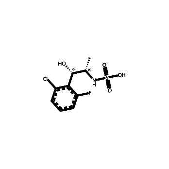 C[C@H](NS(=O)(=O)O)[C@@H](O)c1c(F)cccc1Cl